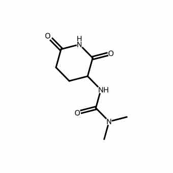 CN(C)C(=O)NC1CCC(=O)NC1=O